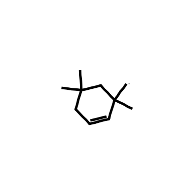 [CH2]C1(C)C=CCC(C)(C)C1